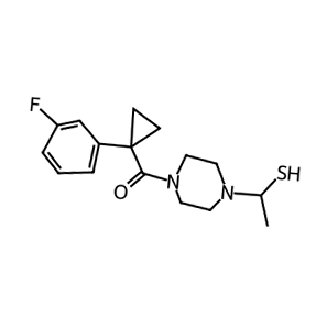 CC(S)N1CCN(C(=O)C2(c3cccc(F)c3)CC2)CC1